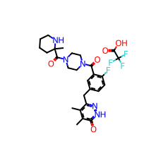 Cc1c(Cc2ccc(F)c(C(=O)N3CCN(C(=O)C4(C)CCCCN4)CC3)c2)n[nH]c(=O)c1C.O=C(O)C(F)(F)F